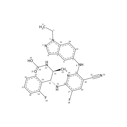 CCn1ncc2cc(Nc3nc(N[C@H](c4ccccc4F)[C@H](C)NC(=O)O)c(F)cc3C#N)ccc21